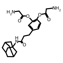 NCC(=O)Oc1ccc(CCC(=O)NC23CC4CC(CC(C4)C2)C3)cc1OC(=O)CN